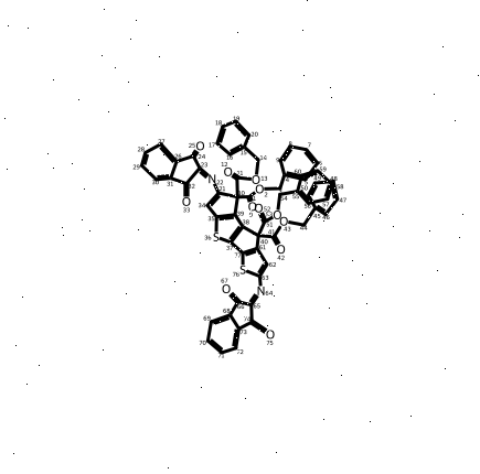 O=C(OCc1ccccc1)C1(C(=O)OCc2ccccc2)C(N=c2c(=O)c3ccccc3c2=O)=Cc2sc3c(c21)C(C(=O)OCc1ccccc1)(C(=O)OCc1ccccc1)c1cc(N=c2c(=O)c4ccccc4c2=O)sc1-3